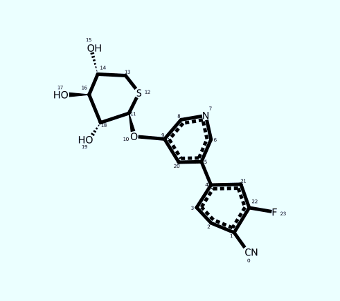 N#Cc1ccc(-c2cncc(O[C@@H]3SC[C@@H](O)[C@H](O)[C@H]3O)c2)cc1F